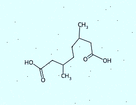 CC(CCC(C)CC(=O)O)CC(=O)O